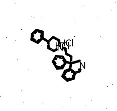 C1=NCC(CCCN2CCC(c3ccccc3)CC2)(c2ccccc2)c2ccccc21.Cl.Cl